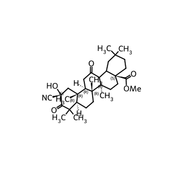 COC(=O)[C@]12CCC(C)(C)CC1C1C(=O)C[C@@H]3[C@@]4(C)C[C@](O)(C#N)C(=O)C(C)(C)[C@@H]4CC[C@@]3(C)[C@]1(C)CC2